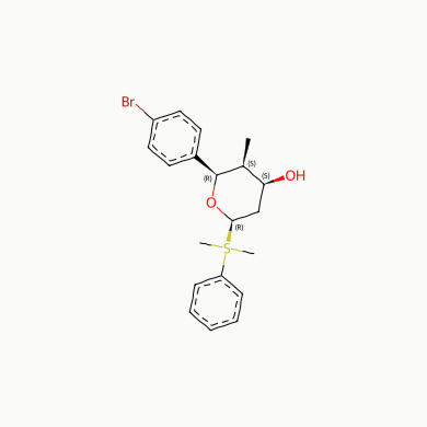 C[C@H]1[C@@H](O)C[C@@H](S(C)(C)c2ccccc2)O[C@H]1c1ccc(Br)cc1